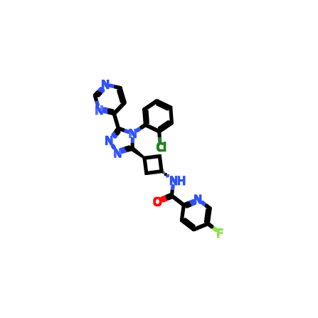 O=C(N[C@H]1C[C@H](c2nnc(-c3ccncn3)n2-c2ccccc2Cl)C1)c1ccc(F)cn1